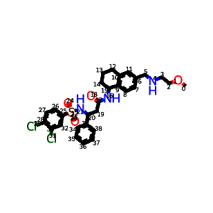 COCCNCc1ccc2c(c1)CCCC2NC(=O)CC(NS(=O)(=O)c1ccc(Cl)c(Cl)c1)c1ccccc1